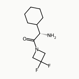 N[C@H](C(=O)N1CC(F)(F)C1)C1CCCCC1